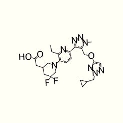 CCc1nc(-c2nnn(C)c2COc2cnn(CC3CC3)n2)ccc1N1CC(CC(=O)O)CC(F)(F)C1